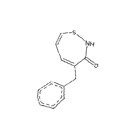 O=C1NSC=CC=C1Cc1ccccc1